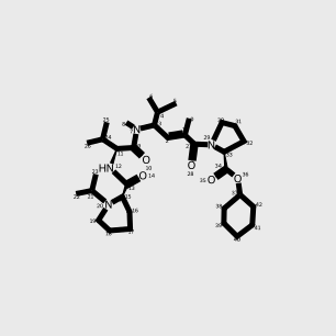 C/C(=C\C(C(C)C)N(C)C(=O)[C@@H](NC(=O)[C@H]1CCCCN1C(C)C)C(C)C)C(=O)N1CCC[C@H]1C(=O)OC1CCCCC1